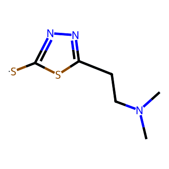 CN(C)CCc1nnc([S])s1